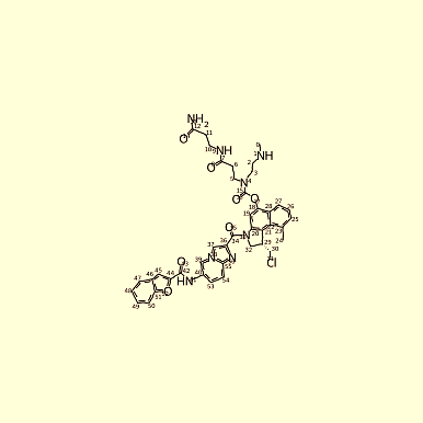 CNCCN(CCC(=O)NCCC(N)=O)C(=O)Oc1cc2c(c3c(C)cccc13)[C@H](CCl)CN2C(=O)c1cn2cc(NC(=O)c3cc4ccccc4o3)ccc2n1